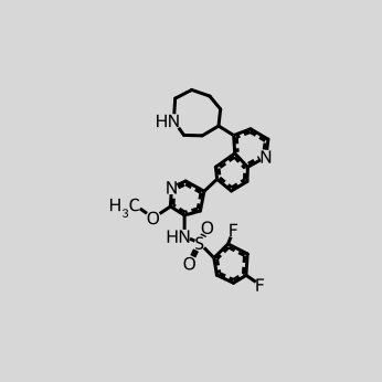 COc1ncc(-c2ccc3nccc(C4CCCCNCC4)c3c2)cc1NS(=O)(=O)c1ccc(F)cc1F